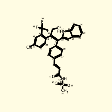 CC/C(=C(/c1ccc(/C=C/C(=O)NS(C)(=O)=O)cc1)c1cc2ccccc2[nH]1)c1ccc(Cl)cc1C(F)(F)F